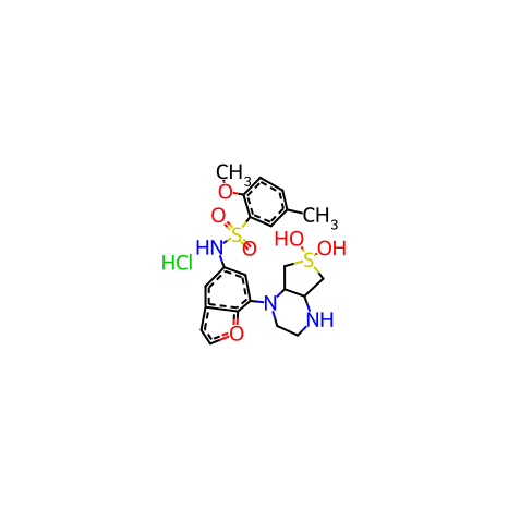 COc1ccc(C)cc1S(=O)(=O)Nc1cc(N2CCNC3CS(O)(O)CC32)c2occc2c1.Cl